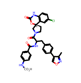 Cc1nocc1-c1ccc(CC(NC(=O)c2ccc(NC(=O)O)cc2)C(=O)N2CC[C@@]3(C2)OC(=O)Nc2ccc(Cl)cc23)cc1